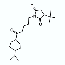 CC(C)C1CCN(C(=O)CCCCN2C(=O)CC(C(C)(C)C)C2=O)CC1